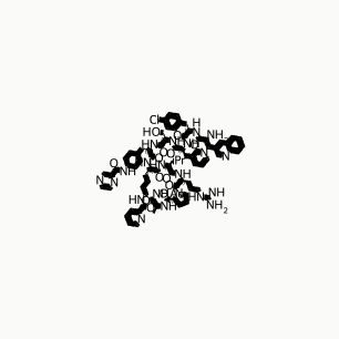 CC(=O)NC(=O)[C@H](C)NC(=O)[C@@H]1CCCN1C(=O)[C@H](CCCNC(=N)N)NC(=O)[C@@H](NC(=O)[C@H](CCCCNC(=O)c1ccccn1)NC(=O)[C@H](CC1CCC(NC(=O)c2cnccn2)CC1)NC(=O)[C@H](CO)NC(=O)[C@H](Cc1cccnc1)NC(=O)[C@H](Cc1ccc(Cl)cc1)NC(=O)[C@@H](N)Cc1cnc2ccccc2c1)C(C)C